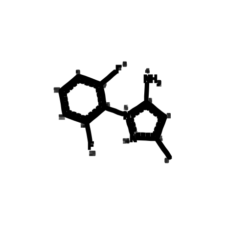 Cc1cc(N)n(-c2c(F)cccc2F)n1